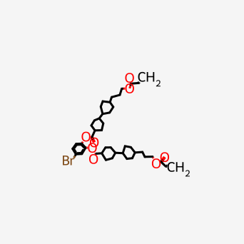 C=CC(=O)OCCCC1CCC(C2CCC(C(=O)Oc3ccc(Br)cc3OC(=O)C3CCC(C4CCC(CCCOC(=O)C=C)CC4)CC3)CC2)CC1